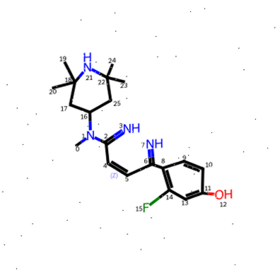 CN(C(=N)/C=C\C(=N)c1ccc(O)cc1F)C1CC(C)(C)NC(C)(C)C1